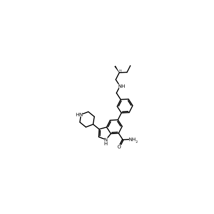 CC[C@H](C)CNCc1cccc(-c2cc(C(N)=O)c3[nH]cc(C4CCNCC4)c3c2)c1